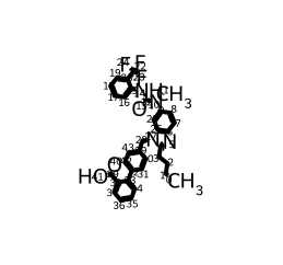 CCCCc1nc2ccc(N(C)C(=O)Nc3ccccc3C(F)(F)F)cc2n1Cc1ccc(-c2ccccc2C(=O)O)cc1